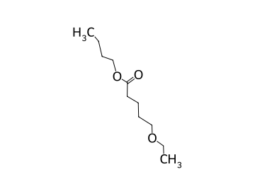 CCCCOC(=O)CCCCOCC